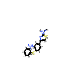 CN(C)c1nc(-c2ccc3c(c2)Nc2ccccc2S3)cs1